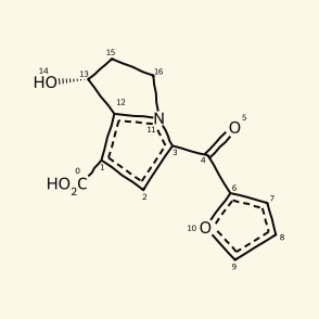 O=C(O)c1cc(C(=O)c2ccco2)n2c1[C@H](O)CC2